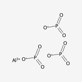 O=P(=O)[O-].O=P(=O)[O-].O=P(=O)[O-].[Al+3]